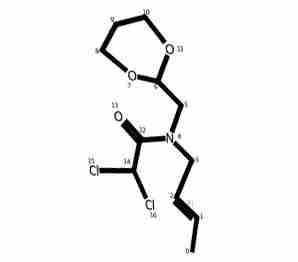 C/C=C/CN(CC1OCCCO1)C(=O)C(Cl)Cl